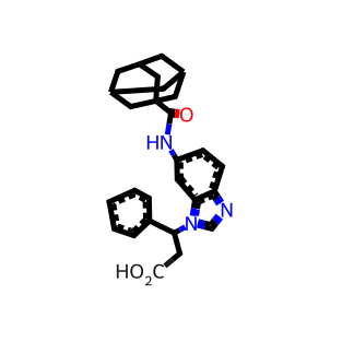 O=C(O)CC(c1ccccc1)n1cnc2ccc(NC(=O)C34CC5CC(CC(C5)C3)C4)cc21